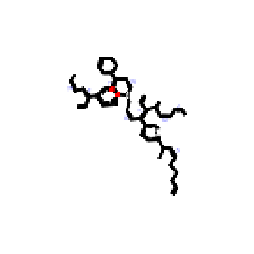 C=CCCC/C=C\C(C)c1ccc(C(/C=C\CN(/C=C\C(=C/CC)C2=CC=CCC2)c2ccc(/C(C=C)=C/C=C\C)cc2)=C(/C=C)C(C)/C=C\C=C/C)cc1